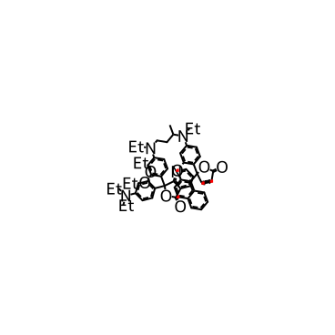 CCOc1cc(N(CC)CC)ccc1C1(c2ccc(N(CC)CCC(C)N(CC)c3ccc4c(c3)Oc3ccc5ccccc5c3C43OC(=O)c4ccccc43)cc2OCC)OC(=O)c2cccnc21